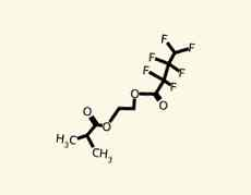 CC(C)C(=O)OCCOC(=O)C(F)(F)C(F)(F)C(F)F